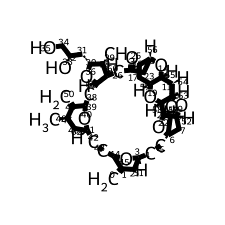 C=C1C[C@@H]2CC[C@@]34C[C@H]5O[C@H]6[C@@H](O3)[C@H]3O[C@H](CC[C@@H]3O[C@H]6[C@H]5O4)CC(=O)C[C@@H]3[C@@H](C)[C@@H](C[C@H](O)CO)O[C@H]3CC3O[C@@H](CCC1O2)C[C@@H](C)C3=C